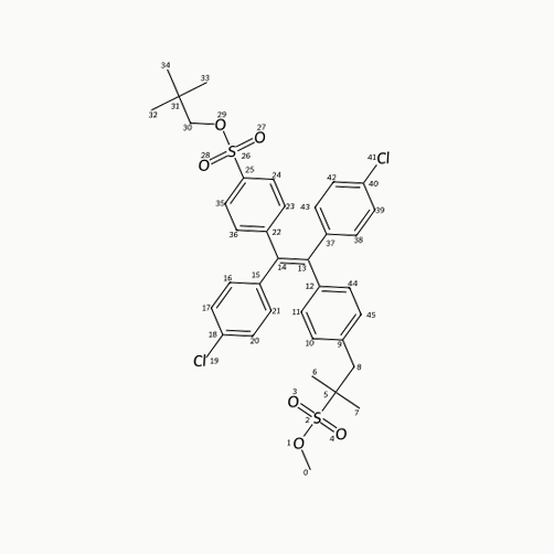 COS(=O)(=O)C(C)(C)Cc1ccc(/C(=C(\c2ccc(Cl)cc2)c2ccc(S(=O)(=O)OCC(C)(C)C)cc2)c2ccc(Cl)cc2)cc1